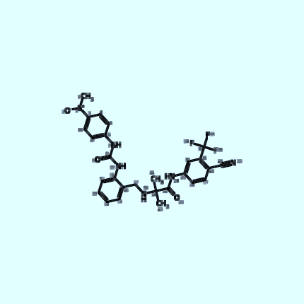 C[S+]([O-])c1ccc(NC(=O)Nc2ccccc2CNC(C)(C)C(=O)Nc2ccc(C#N)c(C(F)(F)F)c2)cc1